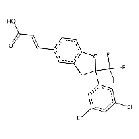 O=C(O)/C=C/c1ccc2c(c1)CC(c1cc(Cl)cc(Cl)c1)(C(F)(F)F)O2